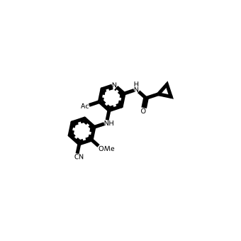 COc1c(C#N)cccc1Nc1cc(NC(=O)C2CC2)ncc1C(C)=O